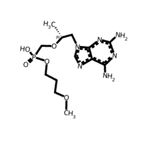 COCCCOP(=O)(O)CO[C@H](C)Cn1cnc2c(N)nc(N)nc21